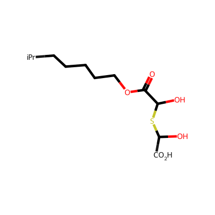 CC(C)CCCCCOC(=O)C(O)SC(O)C(=O)O